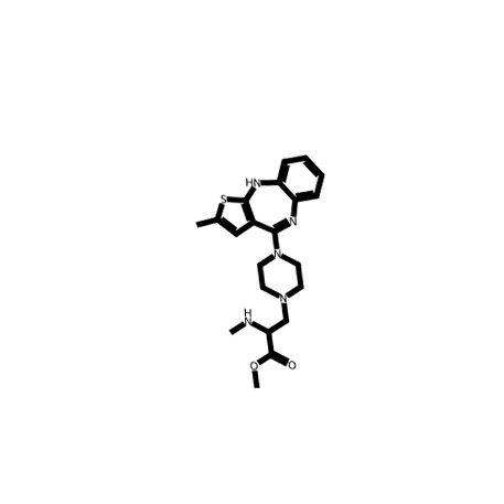 CNC(CN1CCN(C2=Nc3ccccc3Nc3sc(C)cc32)CC1)C(=O)OC